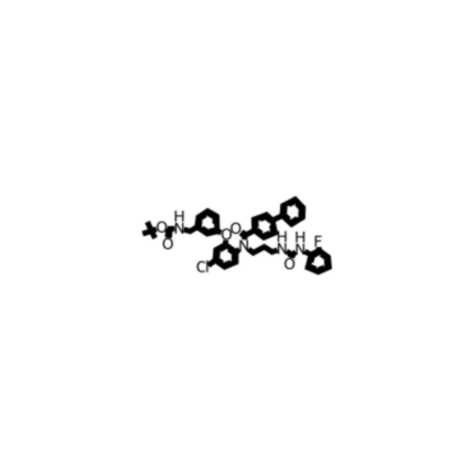 CC(C)(C)OC(=O)NCc1cccc(Oc2cc(Cl)ccc2N(CCCNC(=O)Nc2ccccc2F)C(=O)c2ccc(-c3ccccc3)cc2)c1